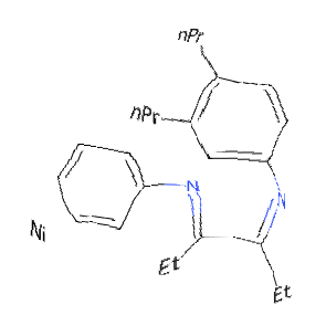 CCCc1ccc(N=C(CC)C(CC)=Nc2ccccc2)cc1CCC.[Ni]